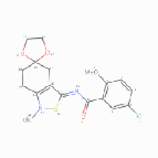 COc1ccc(Cl)cc1C(=O)/N=c1\sn(C(C)(C)C)c2c1CC1(CC2)OCCO1